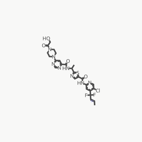 C/C=C/C(F)(F)c1cc(NC(=O)c2cnc(C(C)NC(=O)c3cc(N4CCN(C(=O)CO)CC4)ncn3)s2)ncc1Cl